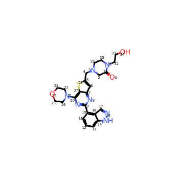 O=C1CN(Cc2cc3nc(-c4cccc5[nH]ncc45)nc(N4CCOCC4)c3s2)CCN1CCO